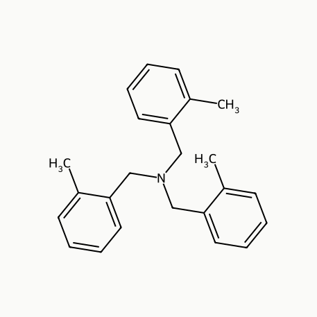 Cc1ccccc1CN(Cc1ccccc1C)Cc1ccccc1C